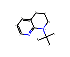 CC(C)(C)N1CCCc2cccnc21